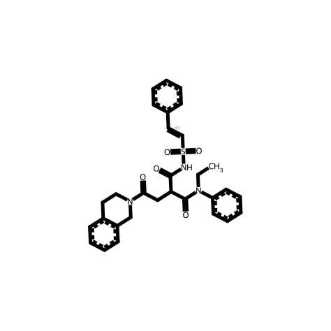 CCN(C(=O)C(CC(=O)N1CCc2ccccc2C1)C(=O)NS(=O)(=O)/C=C/c1ccccc1)c1ccccc1